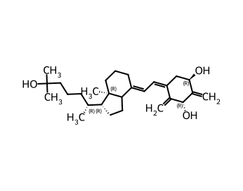 C=C1C(=CC=C2CCC[C@@]3(C)C2CC[C@@H]3[C@H](C)CCCC(C)(C)O)C[C@@H](O)C(=C)[C@@H]1O